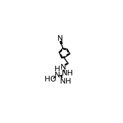 N#Cc1ccc(C=NNC(=N)NO)cc1